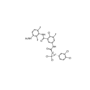 CC(=O)Nc1ccc(F)c(NC(=O)c2cc(NC(=O)[C@H]3[C@H](c4ccc(Cl)c(Cl)c4)C3(Cl)Cl)cc(F)c2Cl)c1F